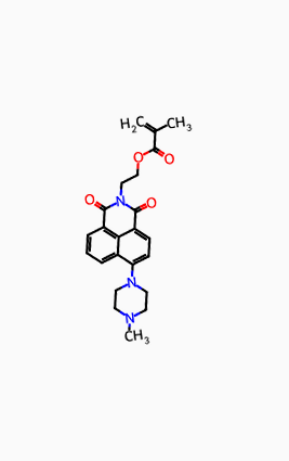 C=C(C)C(=O)OCCN1C(=O)c2cccc3c(N4CCN(C)CC4)ccc(c23)C1=O